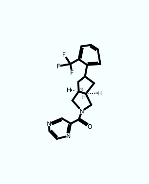 O=C(c1cnccn1)N1C[C@H]2CC(c3ccccc3C(F)(F)F)C[C@H]2C1